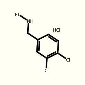 CCNCc1ccc(Cl)c(Cl)c1.Cl